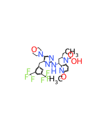 CC[C@@H]1C[C@H](Nc2ncc(N3CCOCC3)c(Cc3cc(C(F)(F)F)cc(C(F)(F)F)c3)n2)c2nc(OC)ccc2N1C(=O)O